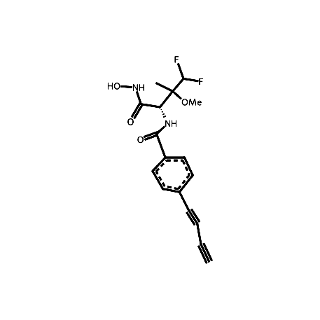 C#CC#Cc1ccc(C(=O)N[C@H](C(=O)NO)C(C)(OC)C(F)F)cc1